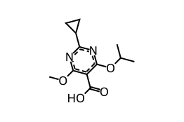 COc1nc(C2CC2)nc(OC(C)C)c1C(=O)O